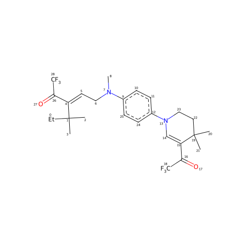 CCC(C)(C)/C(=C\CN(C)c1ccc(N2C=C(C(=O)C(F)(F)F)C(C)(C)CC2)cc1)C(=O)C(F)(F)F